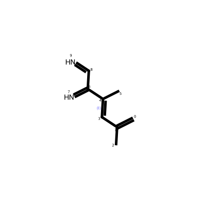 C=C(C)/C=C(\C)C(=N)C=N